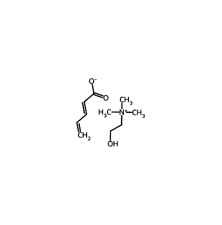 C=CC=CC(=O)[O-].C[N+](C)(C)CCO